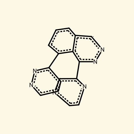 [c]1nnc(-c2cnccn2)c2c(-c3cccnn3)cccc12